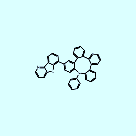 c1ccc(-n2c3ccccc3c3ccccc3c3ccccc3c3cc(-c4cccc5c4oc4cccnc45)ccc32)cc1